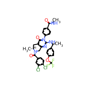 CNC(=O)c1ccc(-n2c(N[C@H](C)c3ccc(OC(F)(F)F)cc3)nc3c(c2=O)C[C@@H](C)N(C(=O)c2ccc(Cl)c(Cl)c2)C3)cc1